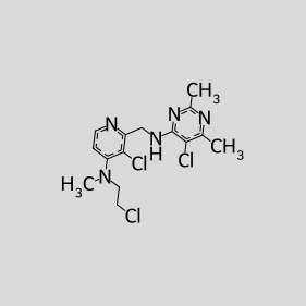 Cc1nc(C)c(Cl)c(NCc2nccc(N(C)CCCl)c2Cl)n1